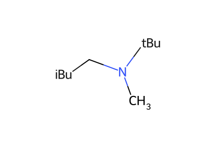 CCC(C)CN(C)C(C)(C)C